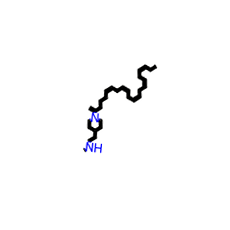 C=C(CCC/C=C\C/C=C\C/C=C\C/C=C\C/C=C\CC)N1CCC(CCNC)CC1